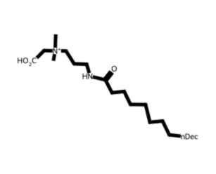 CCCCCCCCCCCCCCCCCC(=O)NCCC[N+](C)(C)CC(=O)O